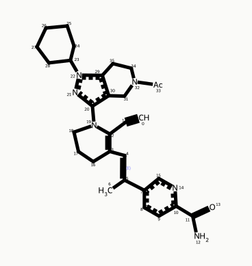 C#CC1=C(/C=C(\C)c2ccc(C(N)=O)nc2)CCCN1c1nn(C2CCCCC2)c2c1CN(C(C)=O)CC2